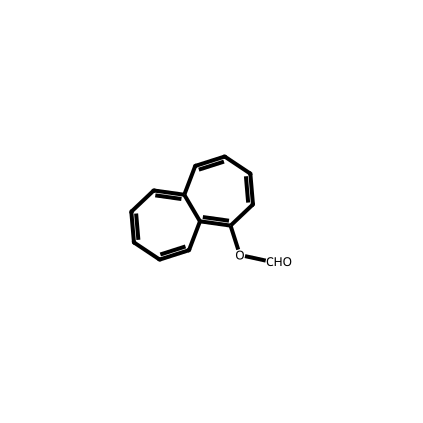 O=COC1=C2C=CC=CC=C2C=CC=C1